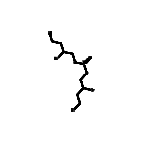 O=[PH](OCC(Br)CCCl)OCC(Br)CCCl